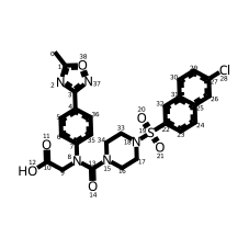 Cc1nc(-c2ccc(N(CC(=O)O)C(=O)N3CCN(S(=O)(=O)c4ccc5cc(Cl)ccc5c4)CC3)cc2)no1